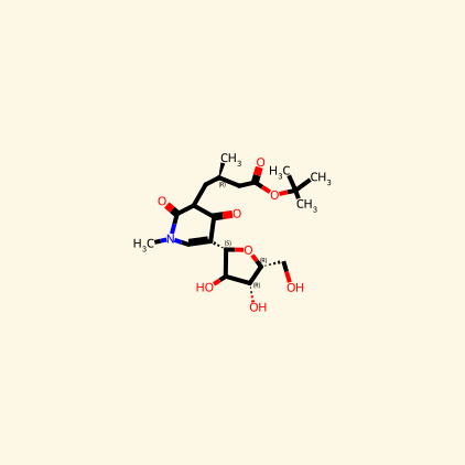 C[C@@H](CC(=O)OC(C)(C)C)CC1C(=O)C([C@@H]2O[C@H](CO)[C@H](O)C2O)=CN(C)C1=O